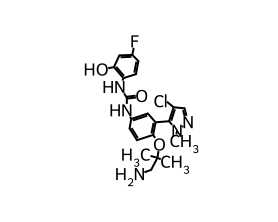 Cn1ncc(Cl)c1-c1cc(NC(=O)Nc2ccc(F)cc2O)ccc1OC(C)(C)CN